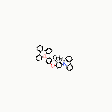 CC1(C)c2cc(B3c4ccccc4-c4ccccc4-c4ccccc43)ccc2Oc2ccc(-n3c4ccccc4c4ccccc43)cc21